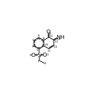 CCS(=O)(=O)c1cccc2c1C=CC(=N)C2=O